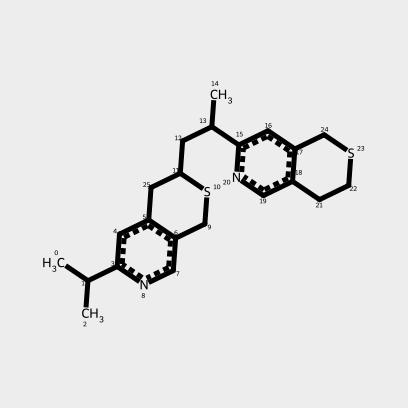 CC(C)c1cc2c(cn1)CSC(CC(C)c1cc3c(cn1)CCSC3)C2